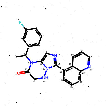 CC(c1cccc(F)c1)N1C(=O)CNn2c1cnc2-c1cccc2ncccc12